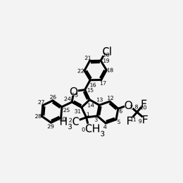 CC1(C)c2ccc(OC(F)(F)F)cc2-c2c(-c3ccc(Cl)cc3)oc(-c3ccccc3)c21